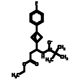 CCOC(=O)CC(N[S+]([O-])C(C)(C)C)C12CC(c3ccc(F)cc3)(C1)C2